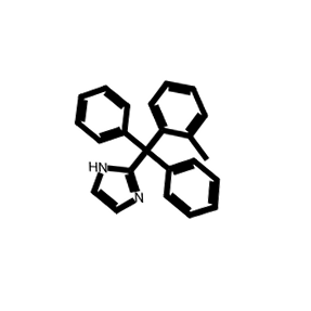 Cc1ccccc1C(c1ccccc1)(c1ccccc1)c1n[c]c[nH]1